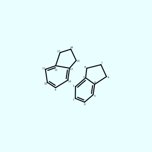 c1ccc2c(c1)CCC2.c1ccc2c(c1)CCC2